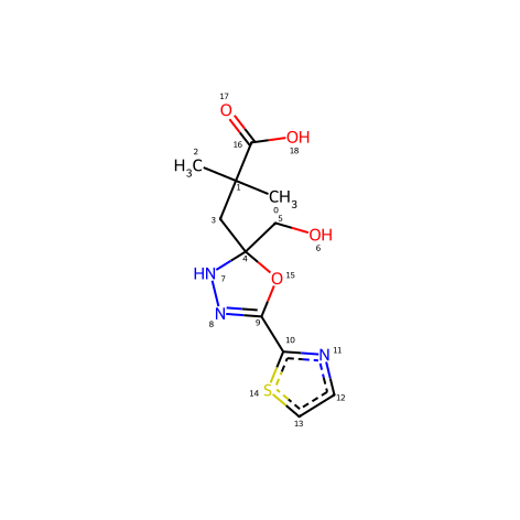 CC(C)(CC1(CO)NN=C(c2nccs2)O1)C(=O)O